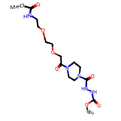 COC(=O)NCCOCCOCC(=O)N1CCN(C(=O)NNC(=O)OC(C)(C)C)CC1